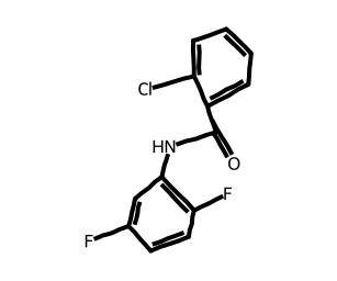 O=C(Nc1cc(F)ccc1F)c1ccccc1Cl